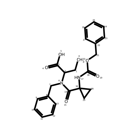 CCC(C(=O)O)N(Cc1ccccc1)C(=O)C1(NC(=O)OCc2ccccc2)CC1